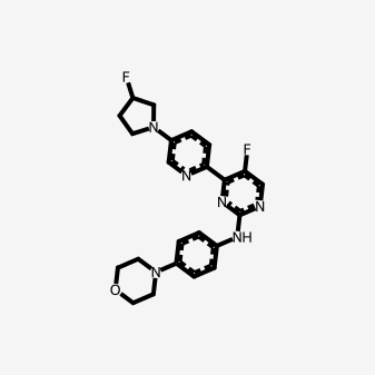 Fc1cnc(Nc2ccc(N3CCOCC3)cc2)nc1-c1ccc(N2CCC(F)C2)cn1